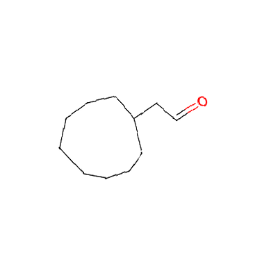 O=CCC1CCCCCCCC1